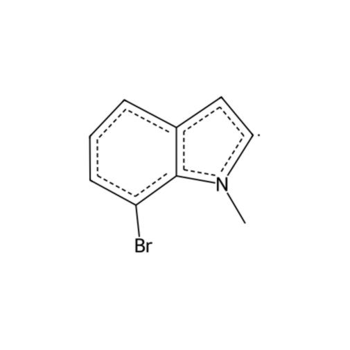 Cn1[c]cc2cccc(Br)c21